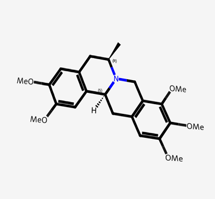 COc1cc2c(cc1OC)[C@@H]1Cc3cc(OC)c(OC)c(OC)c3CN1[C@H](C)C2